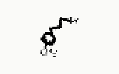 [CH2]c1ccc(CCCC(C)C)cc1